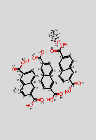 O=C(O)c1ccc2cc(C(=O)O)ccc2c1.O=C(O)c1ccc2cc(C(=O)O)ccc2c1.O=C(O)c1ccc2cc(C(=O)O)ccc2c1.[O-2].[Zn+2].[Zn+2].[Zn+2].[Zn+2]